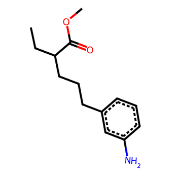 CCC(CCCc1cccc(N)c1)C(=O)OC